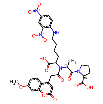 COc1ccc2c(CC(=O)N(C(CCCCNc3ccc([N+](=O)[O-])cc3[N+](=O)[O-])C(=O)O)[C@@H](C)C(=O)N3CCC[C@H]3C(=O)O)cc(=O)oc2c1